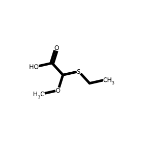 CCSC(OC)C(=O)O